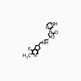 Cc1ncc2c(c1F)CC(CNCC[C@@H]1CN(C3=CNCC=N3)C(=O)O1)C2